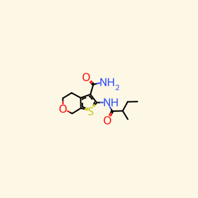 CCC(C)C(=O)Nc1sc2c(c1C(N)=O)CCOC2